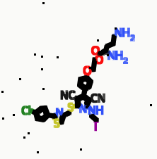 N#Cc1c(NCCI)nc(SCc2csc(-c3ccc(Cl)cc3)n2)c(C#N)c1-c1ccc(OCCOC(=O)[C@@H](N)CCCN)cc1